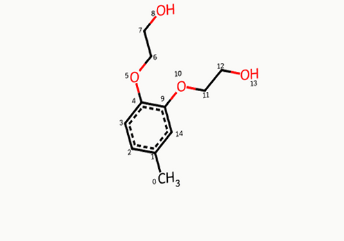 Cc1ccc(OCCO)c(OCCO)c1